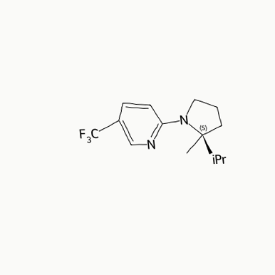 CC(C)[C@]1(C)CCCN1c1ccc(C(F)(F)F)cn1